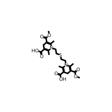 COC(=O)C1=C(C)N(CCSCCN2C(C)=C(C(=O)O)CC(C(=O)OC)=C2C)C(C)=C(C(=O)O)C1